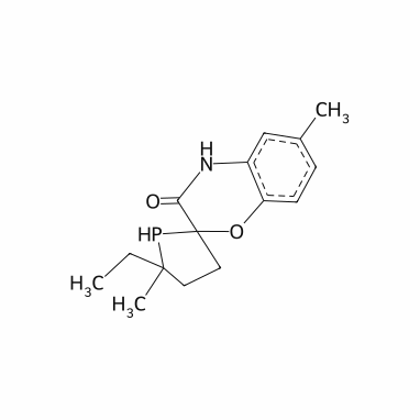 CCC1(C)CCC2(Oc3ccc(C)cc3NC2=O)P1